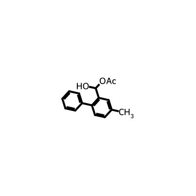 CC(=O)OC(O)c1cc(C)ccc1-c1ccccc1